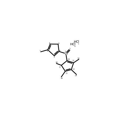 Cl.Cl.[CH2]=[Zr]([C]1=CC(C)=CC1)[C]1=C(C)C(C)=C(C)C1C